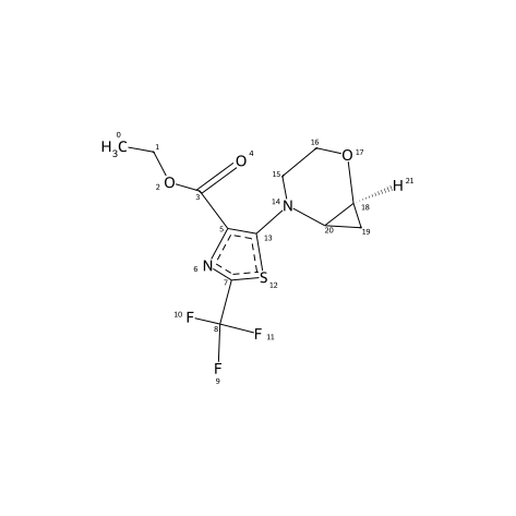 CCOC(=O)c1nc(C(F)(F)F)sc1N1CCO[C@H]2CC21